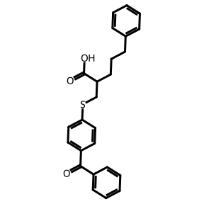 O=C(c1ccccc1)c1ccc(SCC(CCCc2ccccc2)C(=O)O)cc1